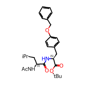 CC(=O)N[C@@H](CC(C)C)C(=O)N[C@@H](Cc1ccc(OCc2ccccc2)cc1)C(=O)OC(C)(C)C